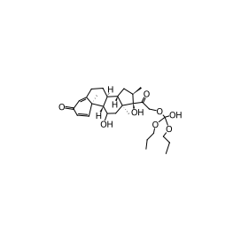 CCCOC(O)(OCCC)OCC(=O)[C@@]1(O)[C@H](C)C[C@H]2[C@@H]3CCC4=CC(=O)C=C[C@]4(C)[C@H]3C(O)C[C@@]21C